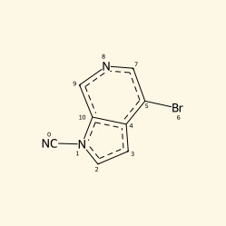 N#Cn1ccc2c(Br)cncc21